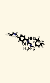 CN(/C(N)=C/C=C(\N)c1ccc(N/C=C\C=N)cc1O)C1CC(C)(C)NC(C)(C)C1